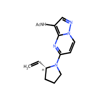 C=C[C@H]1CCCN1c1ccn2ncc(NC(C)=O)c2n1